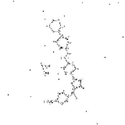 CN(c1ccc(C(=O)O)cc1)c1nc(-c2ccc(NCc3ccc(C4CCCCC4)cc3)cc2)cs1.O=S(=O)(O)O